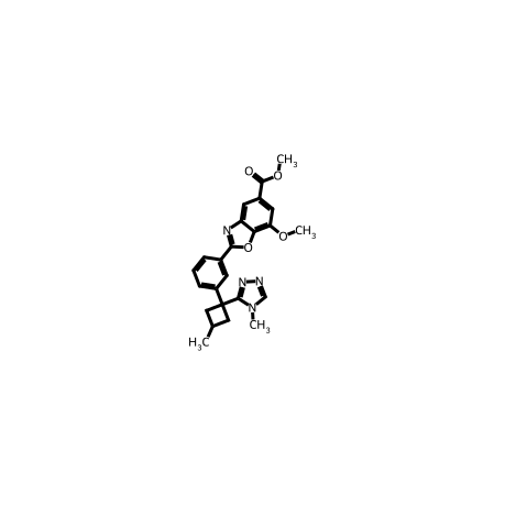 COC(=O)c1cc(OC)c2oc(-c3cccc(C4(c5nncn5C)CC(C)C4)c3)nc2c1